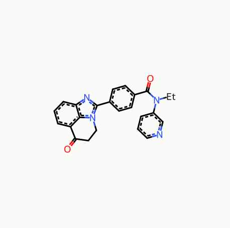 CCN(C(=O)c1ccc(-c2nc3cccc4c3n2CCC4=O)cc1)c1cccnc1